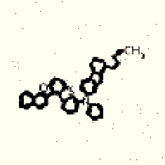 C/C=C\C=C/c1cccc2c1Cc1cc(N(c3ccccc3)c3cccc4c3sc3ccc5oc6c7ccccc7ccc6c5c34)ccc1-2